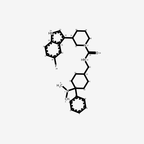 CN(C)C1(c2ccccc2)CCC(CNC(=O)N2CCCC(c3c[nH]c4ccc(F)cc34)C2)CC1